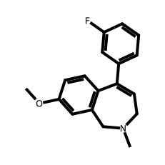 COc1ccc2c(c1)CN(C)CC=C2c1cccc(F)c1